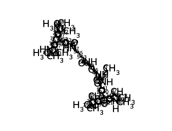 CCCCC(NC(=O)c1ccc(C2=c3cc4c(cc3Oc3cc5c(cc32)C(C)=CC(C)(C)N5)=NC(C)(C)C=C4C)cc1)C(=O)NCCOCCNC(=O)CCCCCNC(=O)c1ccc(C2=c3cc4c(cc3Cc3cc5c(cc32)C(C)=CC(C)(C)N5)=NC(C)(C)C=C4C)cc1